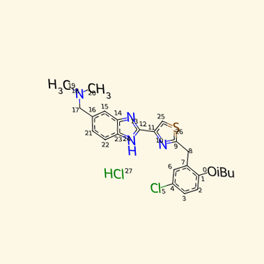 CC(C)COc1ccc(Cl)cc1Cc1nc(-c2nc3cc(CN(C)C)ccc3[nH]2)cs1.Cl